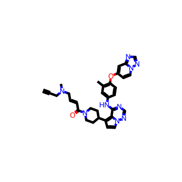 C#CCN(C)C/C=C/C(=O)N1CCC(c2ccn3ncnc(Nc4ccc(Oc5ccn6ncnc6c5)c(C)c4)c23)CC1